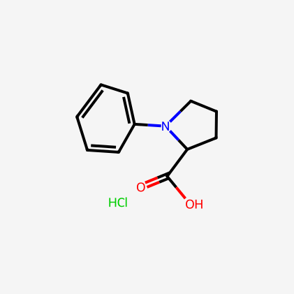 Cl.O=C(O)C1CCCN1c1ccccc1